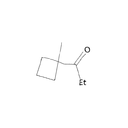 CCC(=O)C1(C)CCC1